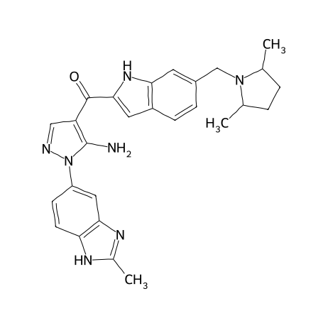 Cc1nc2cc(-n3ncc(C(=O)c4cc5ccc(CN6C(C)CCC6C)cc5[nH]4)c3N)ccc2[nH]1